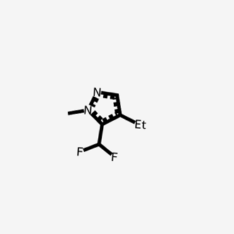 CCc1cnn(C)c1C(F)F